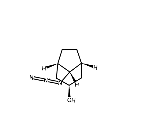 [N-]=[N+]=N[C@H]1[C@@H]2CC[C@H]1C[C@H](O)C2